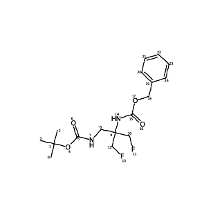 CC(C)(C)OC(=O)NCC(CF)(CF)NC(=O)OCc1ccccc1